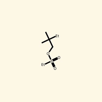 CCC(C)(C)COS(=O)(=O)CC